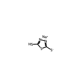 [Na+].[S-]c1nnc(S)s1